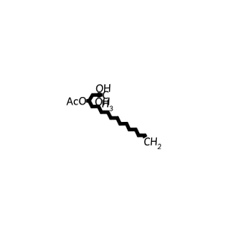 C=CCCCCCCCCCCCC(CC(C)(O)O)OC(C)=O